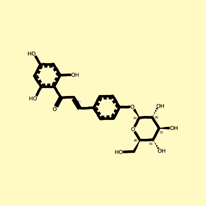 O=C(/C=C/c1ccc(O[C@@H]2O[C@H](CO)[C@@H](O)[C@H](O)[C@H]2O)cc1)c1c(O)cc(O)cc1O